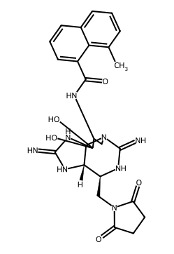 Cc1cccc2cccc(C(=O)NC3CN4C(=N)N[C@@H](CN5C(=O)CCC5=O)[C@@H]5NC(=N)NC54C3(O)O)c12